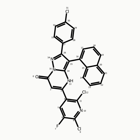 O=c1cc(-c2cc(F)c(Cl)nc2Cl)[nH]c2c(-c3cccc4ccccc34)c(-c3ccc(Cl)cc3)nn12